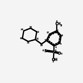 Cc1ccc(S(=O)(O)=S)c(CC2CCCCC2)c1